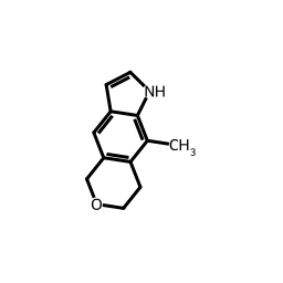 Cc1c2c(cc3cc[nH]c13)COCC2